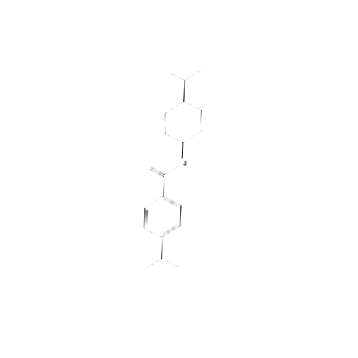 CC(C)c1ccc(C(=O)NC2CCC(C(C)C)CC2)cc1